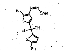 CCc1sc(C(C)(CC)c2ccc(C(C)(C)C)s2)cc1/N=N\SC